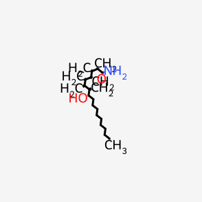 C=C(C(=C)C(=C)C(=C)C(O)CCCCCCCCCC)C(=C)C(=C)C(N)=O